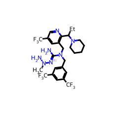 CCC(c1ncc(C(F)(F)F)cc1CN(Cc1cc(C(F)(F)F)cc(C(F)(F)F)c1)/C(N)=N/N(C)N)N1CCCCC1